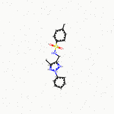 Cc1ccc(S(=O)(=O)NCc2nn(-c3ccccc3)nc2C)cc1